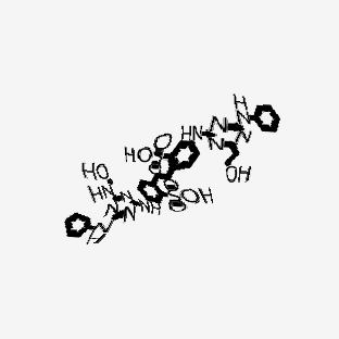 O=S(=O)(O)c1cc(Nc2nc(CCO)nc(Nc3ccccc3)n2)ccc1/C=C/c1ccc(Nc2nc(NCO)nc(Nc3ccccc3)n2)cc1S(=O)(=O)O